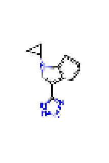 [c]1ccc2c(-c3nnn[nH]3)cn(C3CC3)c2c1